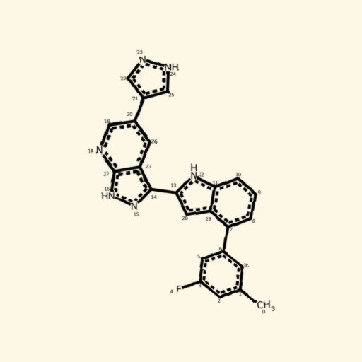 Cc1cc(F)cc(-c2cccc3[nH]c(-c4n[nH]c5ncc(-c6cn[nH]c6)cc45)cc23)c1